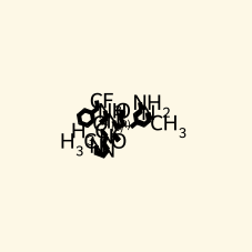 Cc1cc(C[C@H]2C(=O)N(C(=O)NC(C3CCCCC3)C(F)(F)F)[C@@H]2C(=O)N(C)c2nccn2C)cc(N)n1